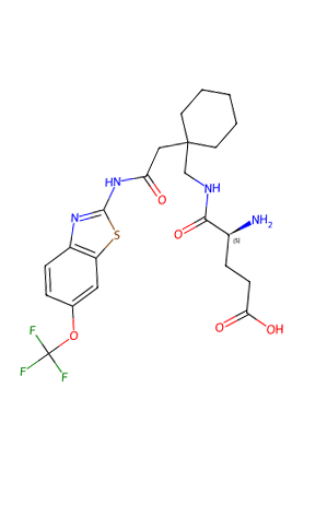 N[C@@H](CCC(=O)O)C(=O)NCC1(CC(=O)Nc2nc3ccc(OC(F)(F)F)cc3s2)CCCCC1